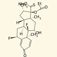 CCC(=O)O[C@]1(C(=S)OC)[C@@H](C)C[C@H]2[C@@H]3C[C@H](F)C4=CC(=O)C=C[C@]4(C)[C@@]3(F)[C@@H](O)C[C@@]21C